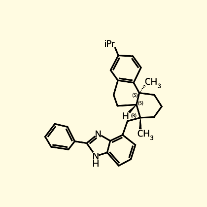 CC(C)c1ccc2c(c1)CC[C@H]1[C@@](C)(Cc3cccc4[nH]c(-c5ccccc5)nc34)CCC[C@]21C